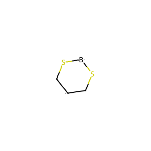 [B]1SC[CH]CS1